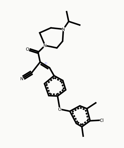 Cc1cc(Oc2ccc(/C=C(\C#N)C(=O)N3CCN(C(C)C)CC3)cc2)cc(C)c1Cl